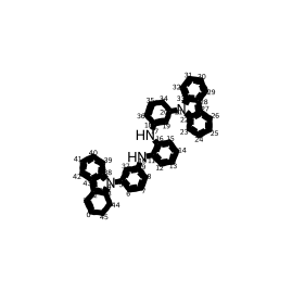 C1=Cc2c(n(-c3cccc(Nc4ccccc4NC4=CC(n5c6ccccc6c6ccccc65)CC=C4)c3)c3ccccc23)CC1